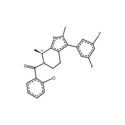 C[C@H]1c2nn(C)c(-c3cc(F)cc(F)c3)c2CCN1C(=O)c1ccccc1Cl